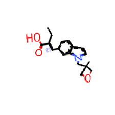 CC/C(=C\c1ccc2ccn(CC3(C)COC3)c2c1)C(=O)O